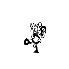 COc1ccnc(C(=O)N[C@H]2COC[C@H](OCC3CC3)[C@@H](Cc3ccccc3)[C@H](C)OC2=O)c1OC(C)=O